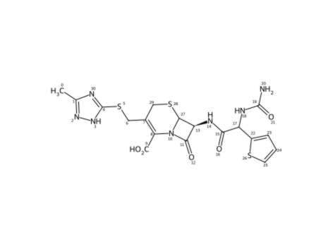 Cc1n[nH]c(SCC2=C(C(=O)O)N3C(=O)[C@H](NC(=O)C(NC(N)=O)c4cccs4)C3SC2)n1